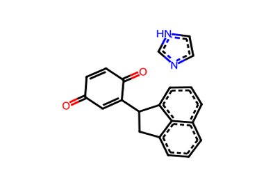 O=C1C=CC(=O)C(C2Cc3cccc4cccc2c34)=C1.c1c[nH]cn1